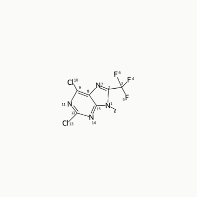 Cn1c(C(F)(F)F)nc2c(Cl)nc(Cl)nc21